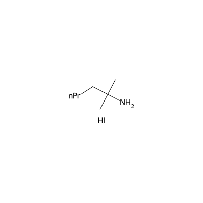 CCCCC(C)(C)N.I